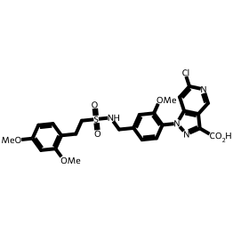 COc1ccc(CCS(=O)(=O)NCc2ccc(-n3nc(C(=O)O)c4cnc(Cl)cc43)c(OC)c2)c(OC)c1